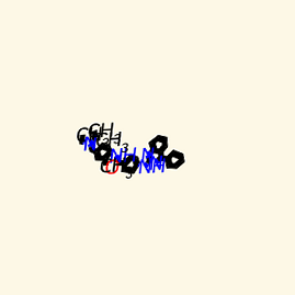 CCN(Cc1ccc(NC(=O)c2ccc(Nc3nc(-c4ccccc4)c4ccccc4n3)cc2)c(C)c1)C(C)C